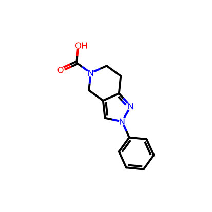 O=C(O)N1CCc2nn(-c3ccccc3)cc2C1